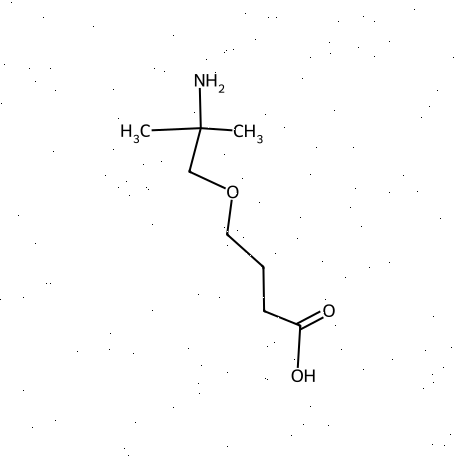 CC(C)(N)COCCCC(=O)O